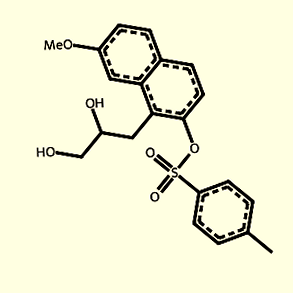 COc1ccc2ccc(OS(=O)(=O)c3ccc(C)cc3)c(CC(O)CO)c2c1